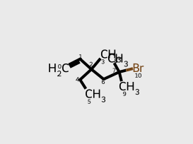 C=CC(C)(CC)CC(C)(C)Br